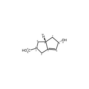 O=C(O)N1CC2=C[C@@H](O)C[C@H]2C1